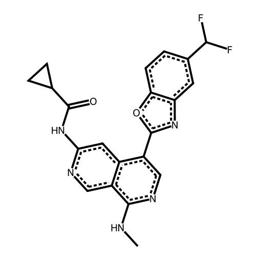 CNc1ncc(-c2nc3cc(C(F)F)ccc3o2)c2cc(NC(=O)C3CC3)ncc12